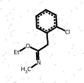 CCOC(Cc1ccccc1Cl)=NC